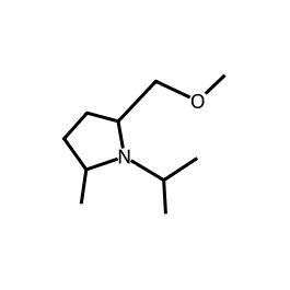 COCC1CCC(C)N1C(C)C